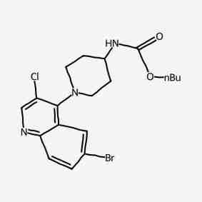 CCCCOC(=O)NC1CCN(c2c(Cl)cnc3ccc(Br)cc23)CC1